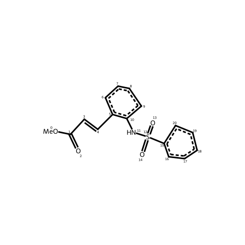 COC(=O)C=Cc1ccccc1NS(=O)(=O)c1ccccc1